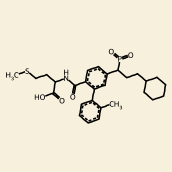 CSCCC(NC(=O)c1ccc(C(CCC2CCCCC2)P(=O)=O)cc1-c1ccccc1C)C(=O)O